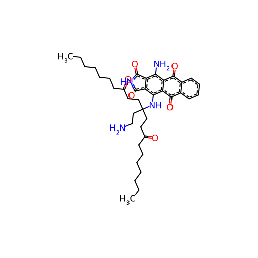 CCCCCCCC(=O)CCC(CCN)(CCC(=O)CCCCCCC)Nc1c2c(=O)[nH]c(=O)c2c(N)c2c(=O)c3ccccc3c(=O)c12